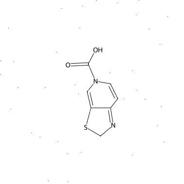 O=C(O)N1C=CC2=NCSC2=C1